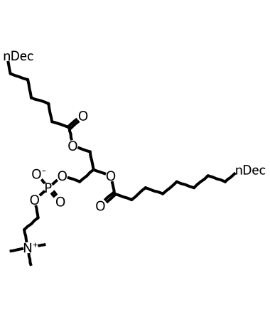 CCCCCCCCCCCCCCCCCC(=O)OC(COC(=O)CCCCCCCCCCCCCCC)COP(=O)([O-])OCC[N+](C)(C)C